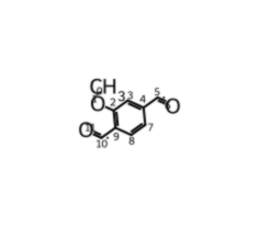 COc1cc([C]=O)ccc1[C]=O